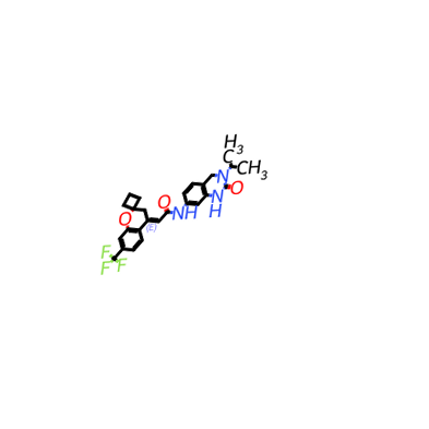 CC(C)N1Cc2ccc(NC(=O)/C=C3\CC4(CCC4)Oc4cc(C(F)(F)F)ccc43)cc2NC1=O